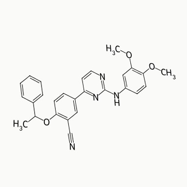 COc1ccc(Nc2nccc(-c3ccc(OC(C)c4ccccc4)c(C#N)c3)n2)cc1OC